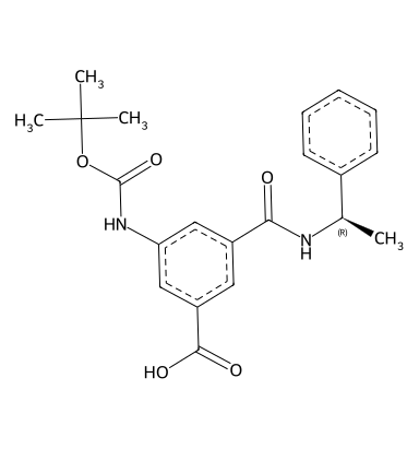 C[C@@H](NC(=O)c1cc(NC(=O)OC(C)(C)C)cc(C(=O)O)c1)c1ccccc1